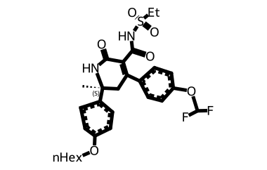 CCCCCCOc1ccc([C@]2(C)CC(c3ccc(OC(F)F)cc3)=C(C(=O)NS(=O)(=O)CC)C(=O)N2)cc1